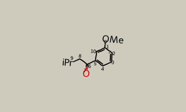 COc1[c]ccc(C(=O)CC(C)C)c1